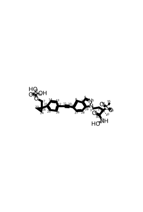 C[C@@](CCn1ncc2cc(C#Cc3ccc(C4(COP(=O)(O)O)CC4)cc3)ccc21)(C(=O)NO)S(C)(=O)=O